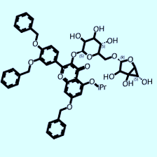 CC(C)Oc1cc(OCc2ccccc2)cc2oc(-c3ccc(OCc4ccccc4)c(OCc4ccccc4)c3)c(O[C@@H]3OC(CO[C@@H]4OC5[C@H](O)C5(O)C4O)[C@@H](O)C(O)C3O)c(=O)c12